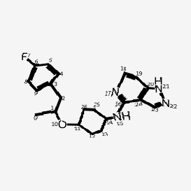 CC(Cc1ccc(F)cc1)OC1CCC(Nc2nccc3[nH]ncc23)CC1